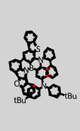 CC(C)(C)c1ccc(N(c2ccc(C(C)(C)C)cc2)c2ccc3c(c2)B2c4c(cc5c(sc6ccccc65)c4N3c3ccccc3-c3ccccc3)-c3cccc4c5oc6ccccc6c5n2c34)cc1